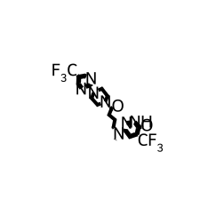 CN(CCCC(=O)N1CCN(c2ncc(C(F)(F)F)cn2)CC1)c1cc(C(F)(F)F)c(=O)[nH]n1